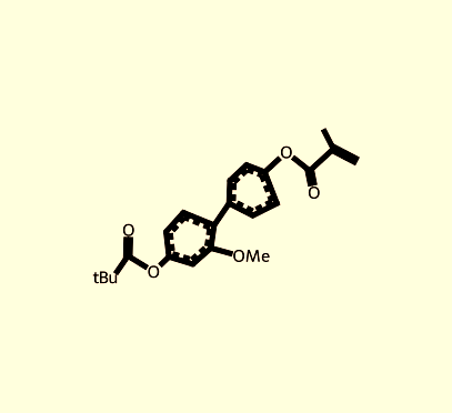 C=C(C)C(=O)Oc1ccc(-c2ccc(OC(=O)C(C)(C)C)cc2OC)cc1